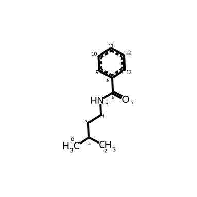 CC(C)CCNC(=O)c1ccccc1